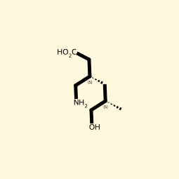 C[C@H](CO)C[C@H](CN)CC(=O)O